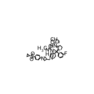 CNC(=O)NC[C@@](c1cccc(F)c1)(C1CCN(CC2CN(c3ccc(S(=O)(=O)C4CC4)cc3)C2)CC1)[C@H]1CCC[C@@H]1NC(=O)OC